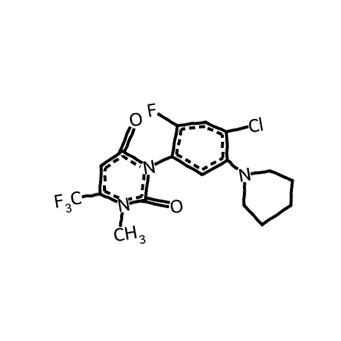 Cn1c(C(F)(F)F)cc(=O)n(-c2cc(N3CCCCC3)c(Cl)cc2F)c1=O